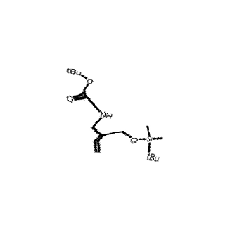 C=C(CNC(=O)OC(C)(C)C)CO[Si](C)(C)C(C)(C)C